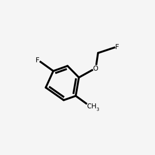 Cc1ccc(F)cc1OCF